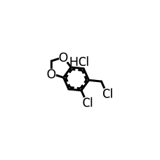 Cl.ClCc1cc2c(cc1Cl)OCO2